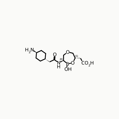 N[C@H]1CC[C@H](CC(=O)N[C@H]2COC[C@H](CC(=O)O)OB2O)CC1